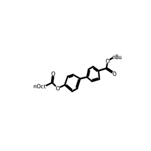 CCCCCCCCC(=O)Oc1ccc(-c2ccc(C(=O)OCCCC)cc2)cc1